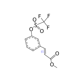 COC(=O)/C=C/c1cccc(OS(=O)(=O)C(F)(F)F)c1